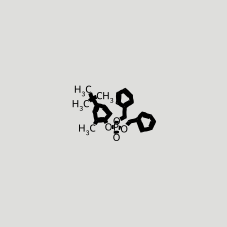 Cc1cc(C(C)(C)C)ccc1OP(=O)(OCc1ccccc1)OCc1ccccc1